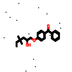 CCC(C)(C)CC(O)COc1ccc(C(=O)c2ccccc2)cc1